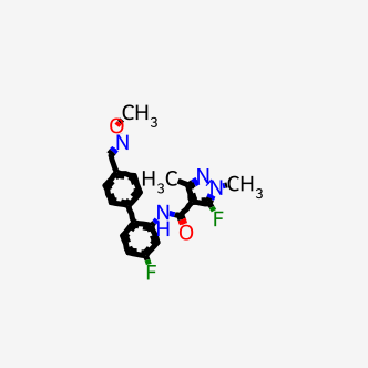 CO/N=C/c1ccc(-c2ccc(F)cc2NC(=O)c2c(C)nn(C)c2F)cc1